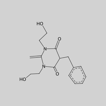 C=C1N(CCO)C(=O)C(Cc2ccccc2)C(=O)N1CCO